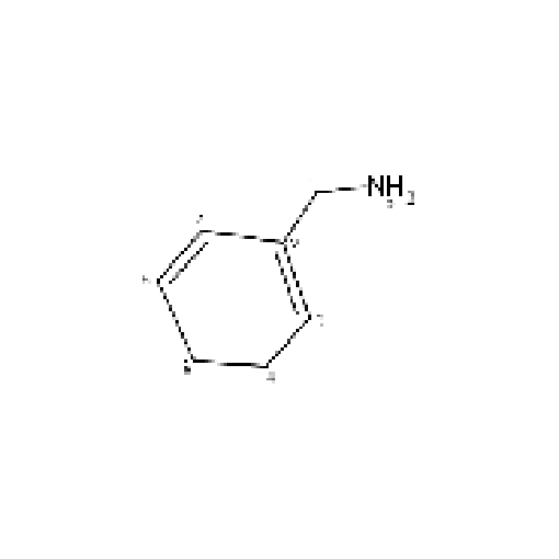 NCC1=CC[CH]C=C1